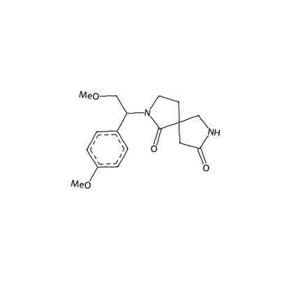 COCC(c1ccc(OC)cc1)N1CCC2(CNC(=O)C2)C1=O